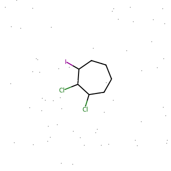 ClC1CCCCC(I)C1Cl